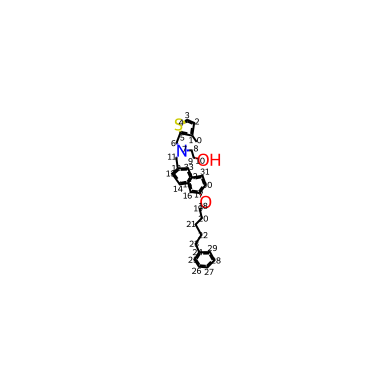 Cc1ccsc1CN(CCO)Cc1ccc2cc(OCCCCCc3ccccc3)ccc2c1